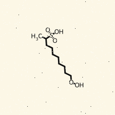 CC(CCCCCCCCOO)S(=O)(=O)O